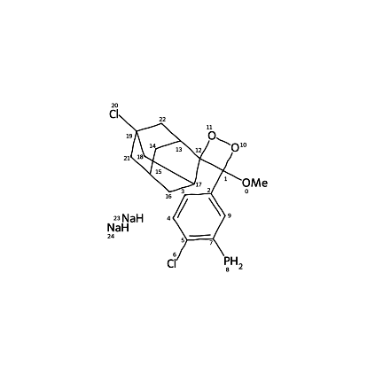 COC1(c2ccc(Cl)c(P)c2)OOC12C1CC3CC2CC(Cl)(C3)C1.[NaH].[NaH]